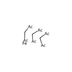 CC(=O)CC(C)=O.CC(=O)CC(C)=O.CC(=O)CC(C)=O.[Fe]